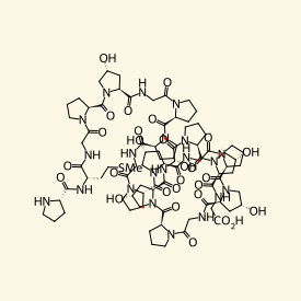 CSCC[C@H](NC(=O)[C@@H]1CCCN1)C(=O)NCC(=O)N1CCC[C@H]1C(=O)N1C[C@H](O)C[C@H]1C(=O)NCC(=O)N1CCC[C@H]1C(=O)N1C[C@H](O)C[C@H]1C(=O)NCC(=O)N1CCC[C@H]1C(=O)N1C[C@H](O)C[C@H]1C(=O)NCC(=O)N1CCC[C@H]1C(=O)N1C[C@H](O)C[C@H]1C(=O)NCC(=O)N1CCC[C@H]1C(=O)N1C[C@H](O)C[C@H]1C(=O)NCC(=O)N1CCC[C@H]1C(=O)N1C[C@H](O)C[C@H]1C(=O)NCC(=O)O